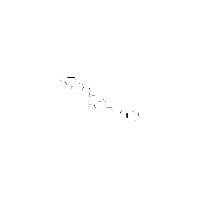 CN(C)C(=O)C(CNC(=O)C(=O)Nc1ccc(Cl)cn1)NCCCc1cc2c(s1)CCNC2